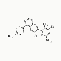 CCc1cc(N)nc(-c2cc3ncnc(N4CCN(C(=O)O)CC4)c3cc2Cl)c1C(F)(F)F